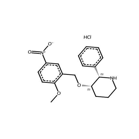 COc1ccc([N+](=O)[O-])cc1CO[C@H]1CCCN[C@H]1c1ccccc1.Cl